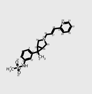 CC1(c2cccc(NS(C)(=O)=O)c2)C2CN(CC=Cc3ccccn3)CC21